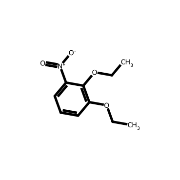 CCOc1cccc([N+](=O)[O-])c1OCC